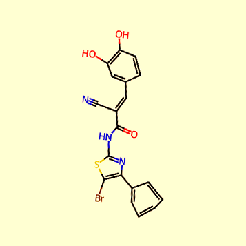 N#C/C(=C\c1ccc(O)c(O)c1)C(=O)Nc1nc(-c2ccccc2)c(Br)s1